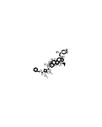 CC(C)[C@@H](CN[C@]12CC[C@@H](C3(C)CC3)[C@@H]1[C@H]1CC[C@@H]3[C@@]4(C)CC[C@H](OC(=O)[C@H]5C[C@@H](C(=O)OCc6ccccc6)C5(C)C)C(C)(C)[C@@H]4CC[C@@]3(C)[C@]1(C)CC2)N1CCS(=O)(=O)CC1